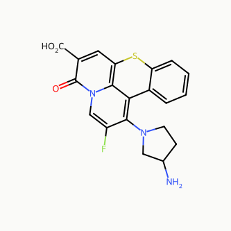 NC1CCN(c2c(F)cn3c(=O)c(C(=O)O)cc4c3c2-c2ccccc2S4)C1